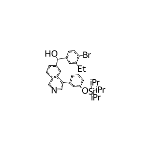 CCc1cc(C(O)c2ccc3cncc(-c4cccc(O[Si](C(C)C)(C(C)C)C(C)C)c4)c3c2)ccc1Br